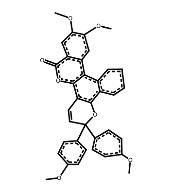 COc1ccc(C2(c3ccc(OC)cc3)C=Cc3c(c4ccccc4c4c3oc(=O)c3cc(OC)c(OC)cc34)O2)cc1